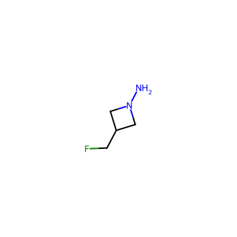 NN1CC(CF)C1